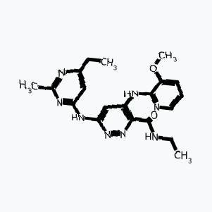 CCNC(=O)c1nnc(Nc2cc(CC)nc(C)n2)cc1Nc1ncccc1OC